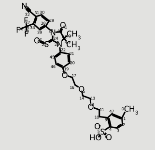 Cc1ccc(S(=O)(=O)O)c(CCOCCOCCOc2ccc(N3C(=S=O)N(c4ccc(C#N)c(C(F)(F)F)c4)C(=O)C3(C)C)cc2)c1